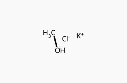 CO.[Cl-].[K+]